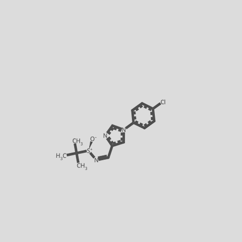 CC(C)(C)[S@@+]([O-])/N=C\c1cn(-c2ccc(Cl)cc2)cn1